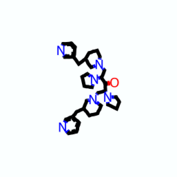 O=C(C(CN1CCCC(Cc2cccnc2)C1)N1CCCC1)C(CN1CCCC(Cc2cccnc2)C1)N1CCCC1